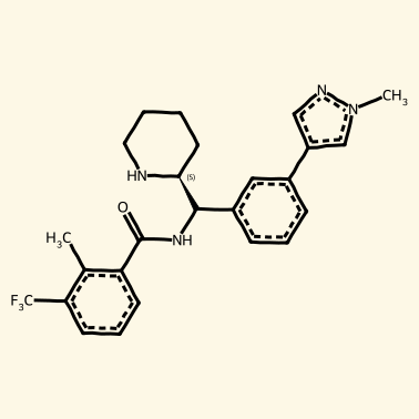 Cc1c(C(=O)NC(c2cccc(-c3cnn(C)c3)c2)[C@@H]2CCCCN2)cccc1C(F)(F)F